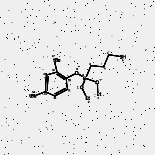 CCO[Si](CCCS)(OCC)Oc1ccc(C(C)(C)C)cc1C(C)(C)C